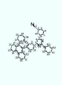 N#Cc1cccc(-c2cc(-c3ccc(-c4c(-c5ccccc5)c5ccccc5c5ccccc45)cc3)nc(-c3ccccc3)n2)c1